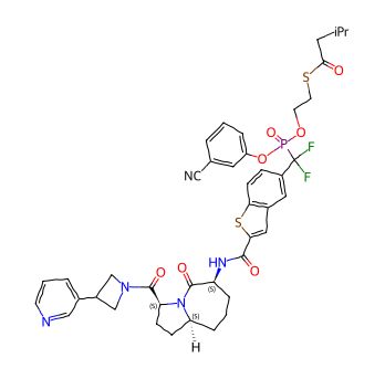 CC(C)CC(=O)SCCOP(=O)(Oc1cccc(C#N)c1)C(F)(F)c1ccc2sc(C(=O)N[C@H]3CCC[C@H]4CC[C@@H](C(=O)N5CC(c6cccnc6)C5)N4C3=O)cc2c1